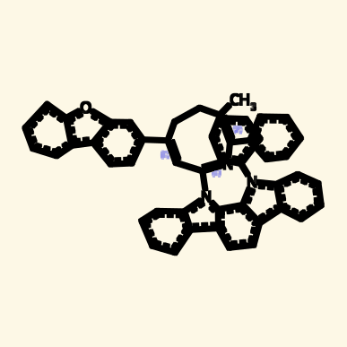 C/C1=C(c2ccccc2)/N=C(n2c3ccccc3c3ccc4c5ccccc5n(-c5ccccc5)c4c32)\C=C(\c2ccc3c(c2)oc2ccccc23)CC1